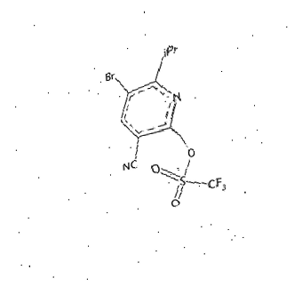 CC(C)c1nc(OS(=O)(=O)C(F)(F)F)c(C#N)cc1Br